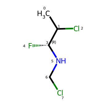 CC(Cl)[C@@H](F)NCCl